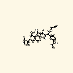 C#CCON=C(C(=O)NC1C(=O)N2C(C(=O)O)=C(CSc3nnnn3C)CS[C@@H]12)c1csc(NC=O)n1